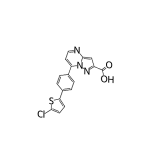 O=C(O)c1cc2nccc(-c3ccc(-c4ccc(Cl)s4)cc3)n2n1